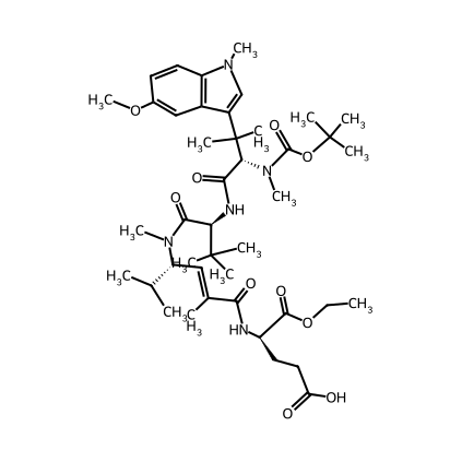 CCOC(=O)[C@@H](CCC(=O)O)NC(=O)/C(C)=C/[C@H](C(C)C)N(C)C(=O)[C@@H](NC(=O)[C@@H](N(C)C(=O)OC(C)(C)C)C(C)(C)c1cn(C)c2ccc(OC)cc12)C(C)(C)C